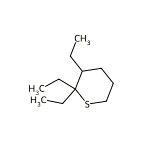 CCC1CCCSC1(CC)CC